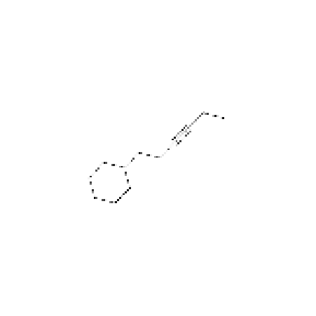 [CH2]CC#CCCC1CCCCC1